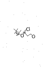 CC(C)(C)[Si](C)(C)O[C@@H](CCl)CC=O